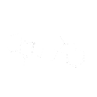 Cc1c(C2(C)CCC(c3ccccc3)(N(C)C)CC2)[nH]c2ccccc12